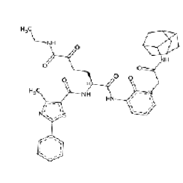 CCNC(=O)C(=O)CC[C@H](NC(=O)c1sc(-c2ccccc2)nc1C)C(=O)Nc1cccn(CC(=O)NC2C3CC4CC(C3)C2C4)c1=O